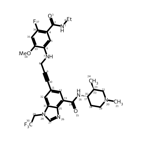 CCNC(=O)c1cc(NCC#Cc2cc(C(=O)N[C@H]3CCN(C)C[C@@H]3C)c3ncn(CC(F)(F)F)c3c2)c(OC)cc1F